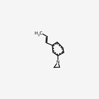 CC=Cc1cccc(N2CC2)c1